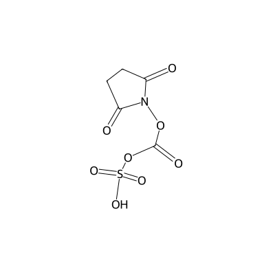 O=C(ON1C(=O)CCC1=O)OS(=O)(=O)O